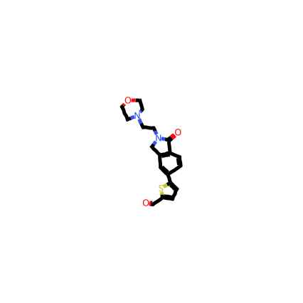 O=Cc1ccc(-c2ccc3c(c2)CN(CCN2CCOCC2)C3=O)s1